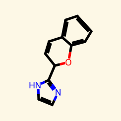 C1=CC(c2ncc[nH]2)Oc2ccccc21